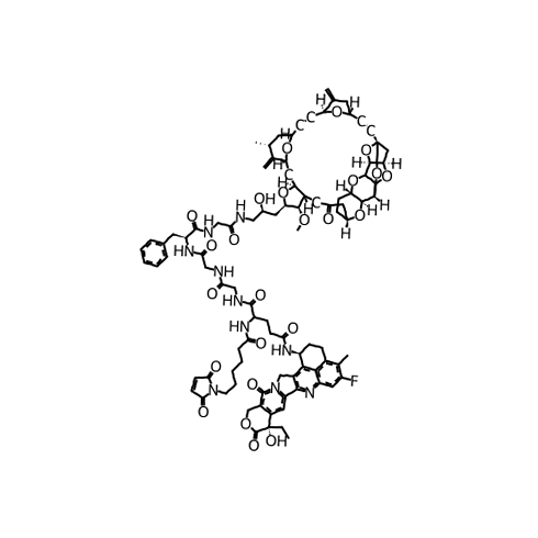 C=C1C[C@@H]2CC[C@@]34C[C@H]5OC6C(O[C@H]7CC[C@H](CC(=O)C[C@@H]8[C@@H](OC)[C@@H](C[C@H](O)CNC(=O)CNC(=O)[C@H](Cc9ccccc9)NC(=O)CNC(=O)CNC(=O)C(CCC(=O)N[C@H]9CCc%10c(C)c(F)cc%11nc%12c(c9c%10%11)Cn9c-%12cc%10c(c9=O)COC(=O)[C@]%10(O)CC)NC(=O)CCCCCN9C(=O)C=CC9=O)O[C@H]8C[C@H]8O[C@@H](CC[C@@H]1O2)C[C@@H](C)C8=C)O[C@@H]7[C@@H]6O3)[C@H]5O4